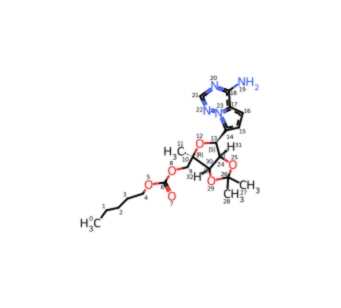 CCCCCOC(=O)OC[C@@]1(C)O[C@@H](c2ccc3c(N)ncnn23)[C@@H]2OC(C)(C)O[C@@H]21